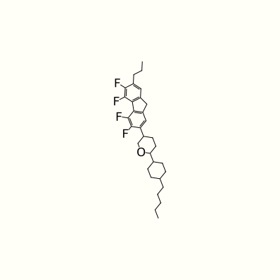 CCCCCC1CCC(C2CCC(c3cc4c(c(F)c3F)-c3c(cc(CCC)c(F)c3F)C4)CO2)CC1